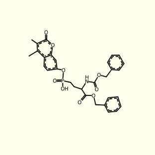 Cc1c(C)c2ccc(OP(=O)(O)CCC(NC(=O)OCc3ccccc3)C(=O)OCc3ccccc3)cc2oc1=O